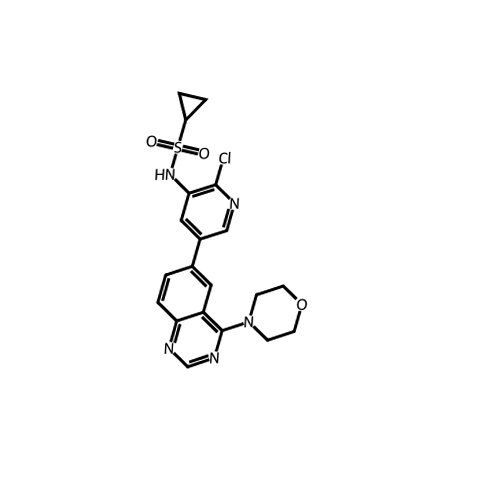 O=S(=O)(Nc1cc(-c2ccc3ncnc(N4CCOCC4)c3c2)cnc1Cl)C1CC1